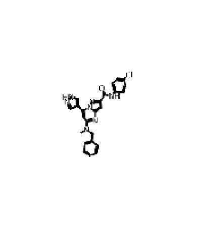 CN(Cc1ccccc1)c1cc(-c2cn[nH]c2)n2nc(C(=O)Nc3ccc(Cl)cc3)cc2n1